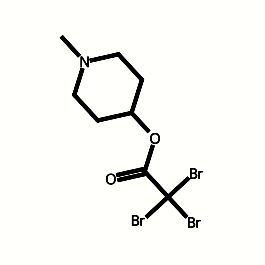 CN1CCC(OC(=O)C(Br)(Br)Br)CC1